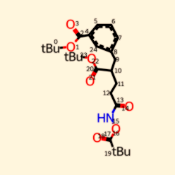 CC(C)(C)OC(=O)c1cccc(CC(CCC(=O)NOC(=O)C(C)(C)C)C(=O)OC(C)(C)C)c1